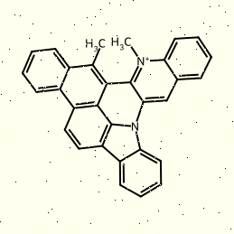 Cc1c2ccccc2c2ccc3c4ccccc4n4c5cc6ccccc6[n+](C)c5c1c2c34